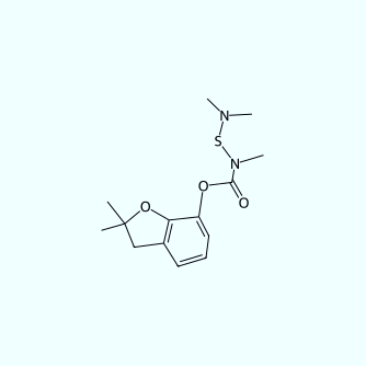 CN(C)SN(C)C(=O)Oc1cccc2c1OC(C)(C)C2